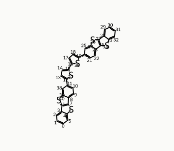 c1ccc2c(c1)sc1c3ccc(-c4ccc(-c5ccc(-c6ccc7c(c6)sc6c8ccccc8sc76)s5)s4)cc3sc21